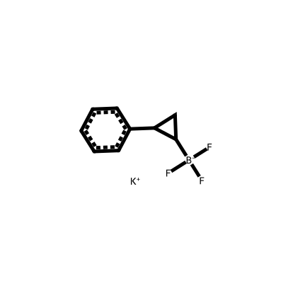 F[B-](F)(F)C1CC1c1ccccc1.[K+]